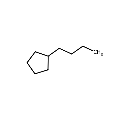 CCCC[C]1CCCC1